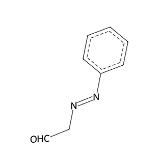 O=CCN=Nc1ccccc1